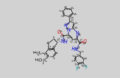 Cc1c(C(=O)O)ccc2c1CC[C@@H]2NC(=O)c1cc(C(=O)NCc2ccc(F)c(F)c2)nc2cc(-c3ccccc3)nn12